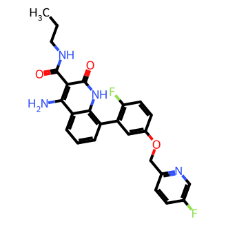 CCCNC(=O)c1c(N)c2cccc(-c3cc(OCc4ccc(F)cn4)ccc3F)c2[nH]c1=O